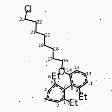 CCc1cccc(CC)c1-c1c(CC)cccc1OCCCCCCCCCl